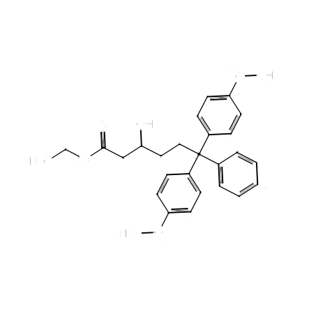 CCOC(=O)CC(O)CCC(c1ccccc1)(c1ccc(OC)cc1)c1ccc(OC)cc1